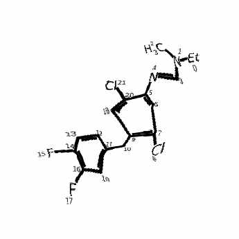 CCN(C)C=Nc1cc(Cl)c(Cc2ccc(F)c(F)c2)cc1Cl